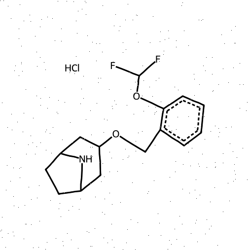 Cl.FC(F)Oc1ccccc1COC1CC2CCC(C1)N2